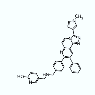 Cn1cnc(-c2nnc3c4cc(-c5ccccc5)c(-c5ccc(CNCc6ccc(O)nc6)cc5)nc4ccn23)c1